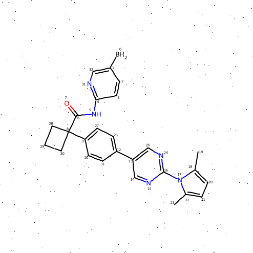 Bc1ccc(NC(=O)C2(c3ccc(-c4cnc(-n5c(C)ccc5C)nc4)cc3)CCC2)nc1